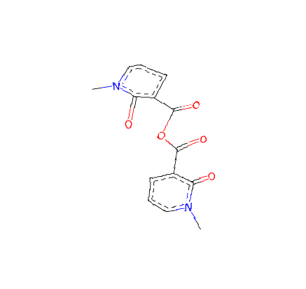 Cn1cccc(C(=O)OC(=O)c2cccn(C)c2=O)c1=O